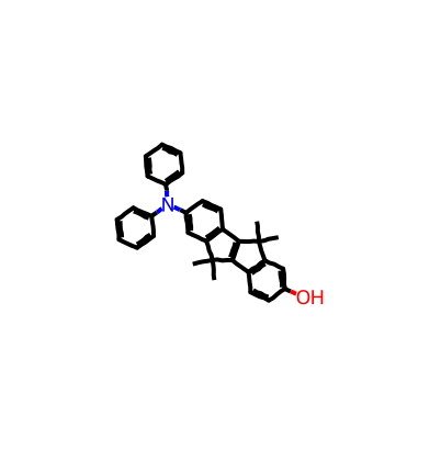 CC1(C)C2=C(c3ccc(O)cc31)C(C)(C)c1cc(N(c3ccccc3)c3ccccc3)ccc12